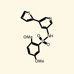 COc1ccc(OC)c(S(=O)(=O)Nc2cncc(-c3cccs3)c2)c1